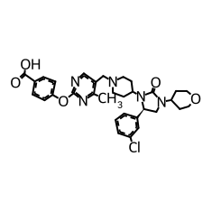 Cc1nc(Oc2ccc(C(=O)O)cc2)ncc1CN1CCC(N2C(=O)N(C3CCOCC3)C[C@H]2c2cccc(Cl)c2)CC1